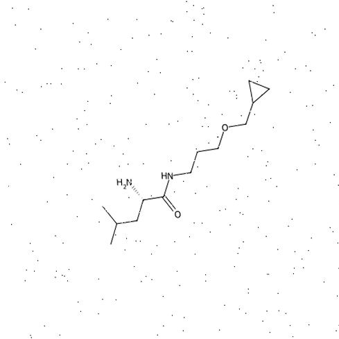 CC(C)C[C@H](N)C(=O)NCCCOCC1CC1